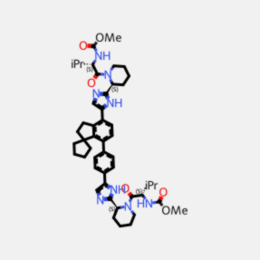 COC(=O)N[C@H](C(=O)N1CCCC[C@H]1c1ncc(-c2ccc(-c3ccc(-c4cnc([C@@H]5CCCCN5C(=O)[C@@H](NC(=O)OC)C(C)C)[nH]4)c4c3C3(CCCC3)CC4)cc2)[nH]1)C(C)C